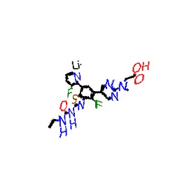 CCNC(=O)Nc1nc2c(F)c(-c3cnc(N(C)CC(=O)O)nc3)cc(-c3ncccc3F)c2s1.[Li]